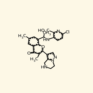 Cc1cc(C(C)Nc2ccc(Cl)nc2C(=O)O)c2oc(-c3cnn4c3CNCC4)c(C)c(=O)c2c1